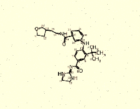 CC(C)(C)c1cc(C(=O)N=C2NCCN2)ccc1Nc1cccc(C(=O)NCCC2CCOC2)c1